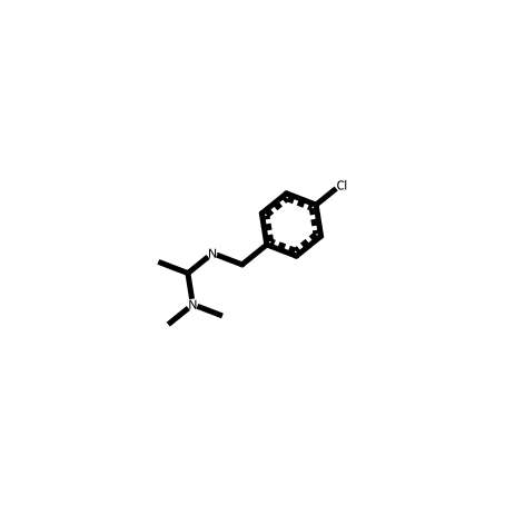 CC([N]Cc1ccc(Cl)cc1)N(C)C